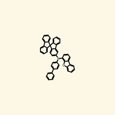 c1ccc(-c2ccc(N(c3ccc4c(c3)-c3ccccc3C43c4ccccc4-c4ccccc43)c3cccc4c3oc3ccccc34)cc2)cc1